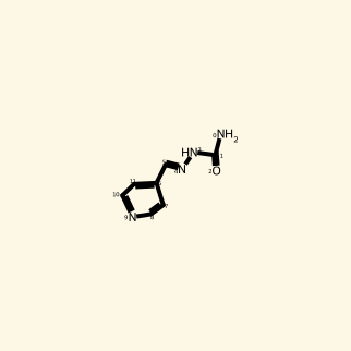 NC(=O)NN=Cc1ccncc1